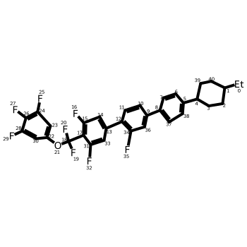 CCC1CCC(c2ccc(-c3ccc(-c4cc(F)c(C(F)(F)Oc5cc(F)c(F)c(F)c5)c(F)c4)c(F)c3)cc2)CC1